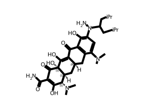 CC(C)CC(CC(C)C)N(N)c1cc(N(C)C)c2c(c1O)C(=O)C1=C(O)[C@]3(O)C(=O)C(C(N)=O)=C(O)[C@@H](N(C)C)[C@@H]3C[C@@H]1C2